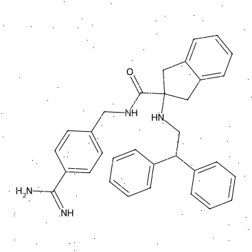 N=C(N)c1ccc(CNC(=O)C2(NCC(c3ccccc3)c3ccccc3)Cc3ccccc3C2)cc1